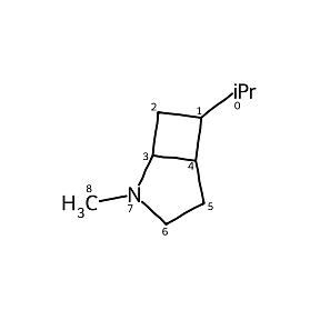 CC(C)C1CC2C1CCN2C